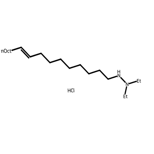 CCCCCCCCC=CCCCCCCCCNN(CC)CC.Cl